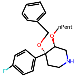 CCCCCO[C@H]1CNCC[C@@]1(OCc1ccccc1)c1ccc(F)cc1